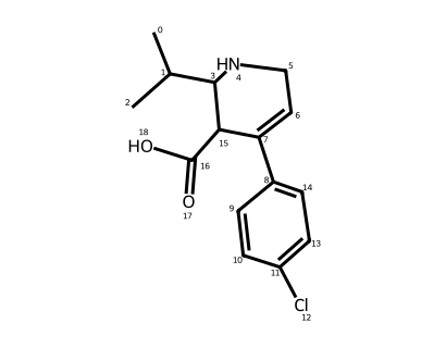 CC(C)C1NCC=C(c2ccc(Cl)cc2)C1C(=O)O